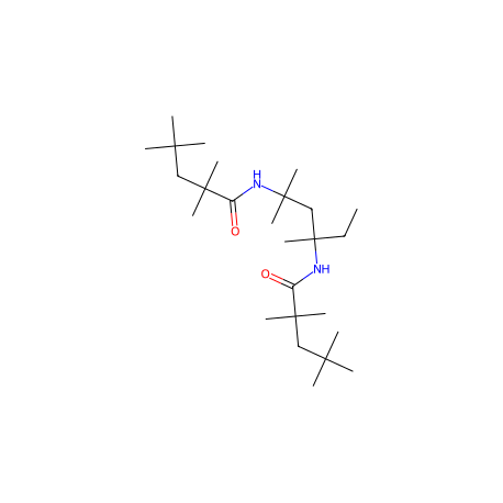 CCC(C)(CC(C)(C)NC(=O)C(C)(C)CC(C)(C)C)NC(=O)C(C)(C)CC(C)(C)C